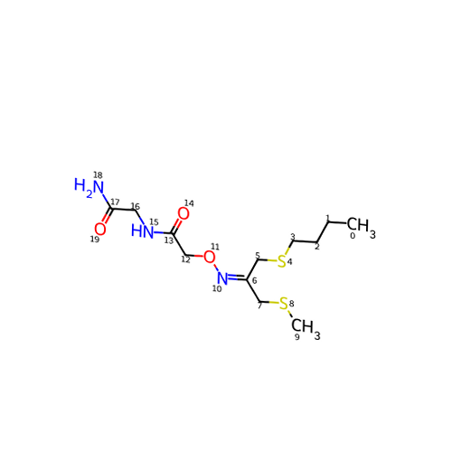 CCCCSC/C(CSC)=N\OCC(=O)NCC(N)=O